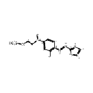 Cc1cc(N(C)CCOS(=O)(=O)O)ccc1N=Nc1ncns1